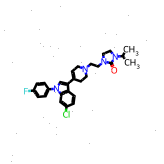 CC(C)N1CCN(CCN2CC=C(c3cn(-c4ccc(F)cc4)c4cc(Cl)ccc34)CC2)C1=O